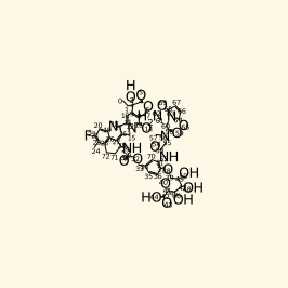 CC[C@@]1(O)C(=O)OCc2c1cc1n(c2=O)Cc2c-1nc1cc(F)c(C)c3c1c2[C@@H](NC(=O)OCc1ccc(O[C@@H]2OC(C(=O)O)[C@@H](O)[C@H](O)C2O)c(NC(=O)CN(C)C(=O)[C@H](CN)N2C(=O)C=CC2=O)c1)CC3